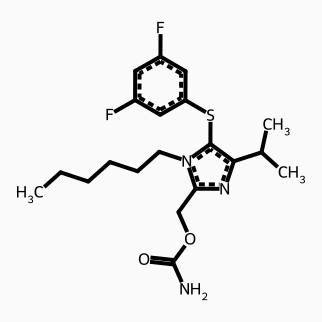 CCCCCCn1c(COC(N)=O)nc(C(C)C)c1Sc1cc(F)cc(F)c1